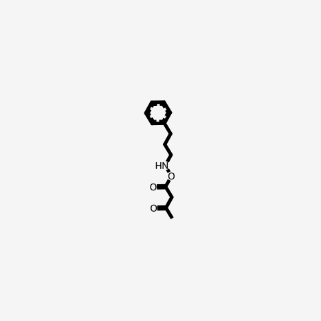 CC(=O)CC(=O)ONCCCc1ccccc1